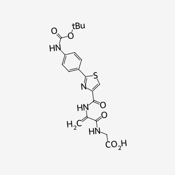 C=C(NC(=O)c1csc(-c2ccc(NC(=O)OC(C)(C)C)cc2)n1)C(=O)NCC(=O)O